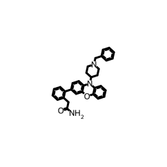 NC(=O)Cc1ccccc1-c1ccc2c(c1)Oc1ccccc1N2C1CCN(Cc2ccccc2)CC1